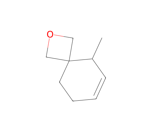 CC1C=CCCC12COC2